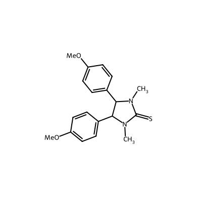 COc1ccc(C2C(c3ccc(OC)cc3)N(C)C(=S)N2C)cc1